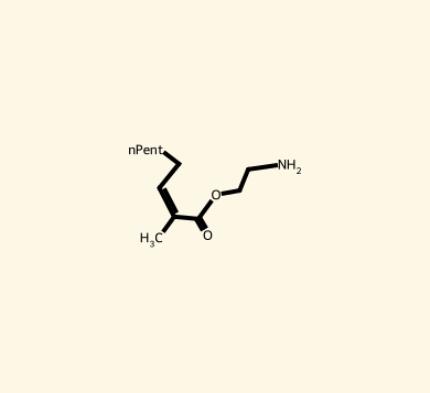 CCCCCCC=C(C)C(=O)OCCN